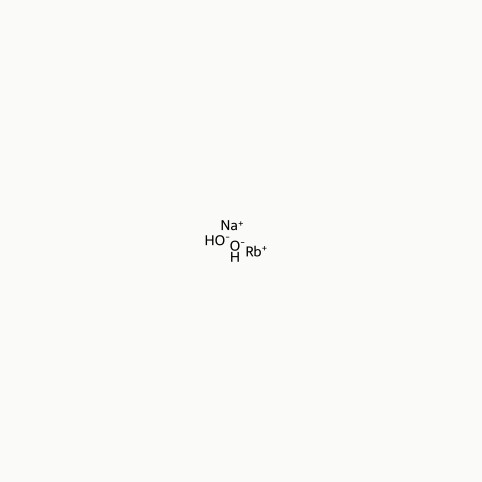 [Na+].[OH-].[OH-].[Rb+]